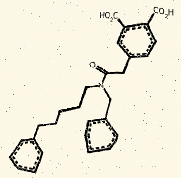 O=C(O)c1ccc(CC(=O)N(CCCCCc2ccccc2)Cc2ccccc2)cc1C(=O)O